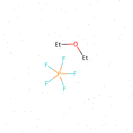 CCOCC.FP(F)(F)(F)F